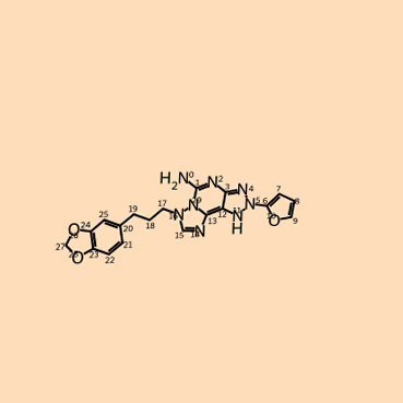 NC1=NC2=NN(c3ccco3)NC2=C2N=CN(CCCc3ccc4c(c3)OCO4)N12